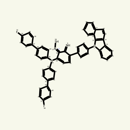 N=C1C(c2ccc(-n3c4ccccc4c4ccc5ccccc5c43)cc2)=CC=C(N(c2ccc(-c3ccc(F)cc3)cc2)c2ccc(-c3ccc(F)cc3)cc2)/C1=N/S